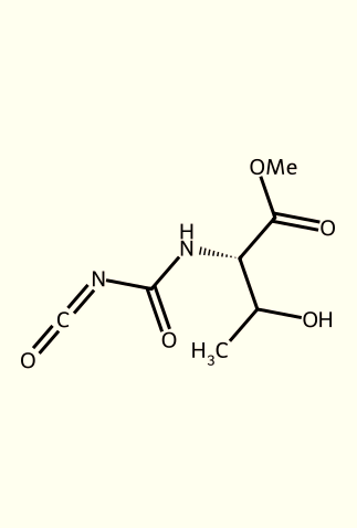 COC(=O)[C@@H](NC(=O)N=C=O)C(C)O